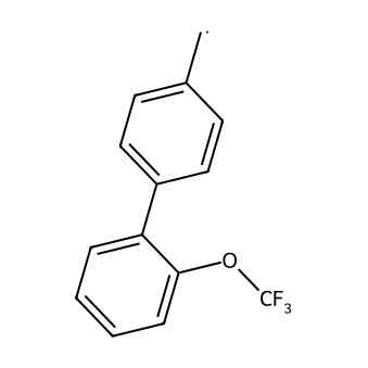 [CH2]c1ccc(-c2ccccc2OC(F)(F)F)cc1